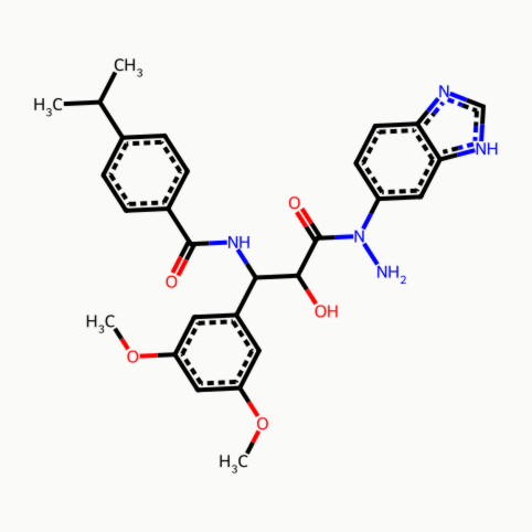 COc1cc(OC)cc(C(NC(=O)c2ccc(C(C)C)cc2)C(O)C(=O)N(N)c2ccc3nc[nH]c3c2)c1